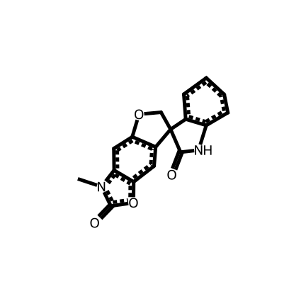 Cn1c(=O)oc2cc3c(cc21)OCC31C(=O)Nc2ccccc21